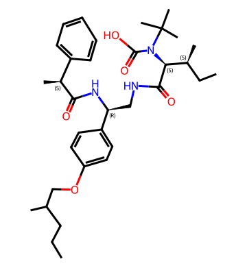 CCCC(C)COc1ccc([C@H](CNC(=O)[C@H]([C@@H](C)CC)N(C(=O)O)C(C)(C)C)NC(=O)[C@@H](C)c2ccccc2)cc1